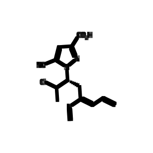 C=C/C=C(\C[C@H](C(C)Cl)n1nc(C(=O)O)cc1C#N)N=C